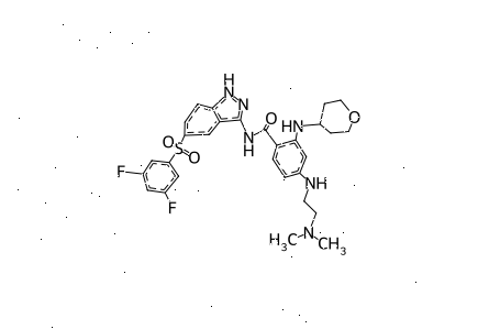 CN(C)CCNc1ccc(C(=O)Nc2n[nH]c3ccc(S(=O)(=O)c4cc(F)cc(F)c4)cc23)c(NC2CCOCC2)c1